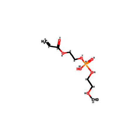 C=CC(=O)OCCOP(=O)(O)OCCOC=O